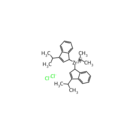 CC(C)C1=C[CH]([Zr+2]([CH]2C=C(C(C)C)c3ccccc32)=[Si](C)C)c2ccccc21.[Cl-].[Cl-]